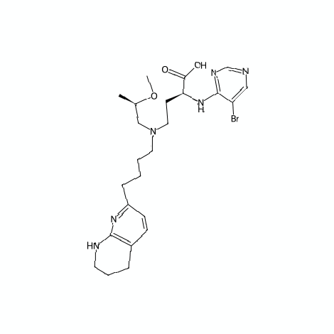 CO[C@H](C)CN(CCCCc1ccc2c(n1)NCCC2)CC[C@H](Nc1ncncc1Br)C(=O)O